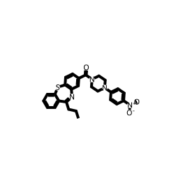 CCCC1=Nc2cc(C(=O)N3CCN(c4ccc([N+](=O)[O-])cc4)CC3)ccc2Sc2ccccc21